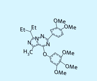 CCC(CC)c1nc(C)c2c(Oc3cc(OC)c(OC)c(OC)c3)nc(-c3ccc(OC)c(OC)c3)nn12